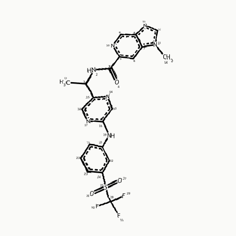 CC(NC(=O)c1cc2c(cn1)ncn2C)c1cnc(Nc2cccc(S(=O)(=O)C(F)(F)F)c2)cn1